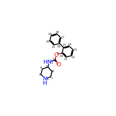 O=C(NC1CCNCC1)Oc1ccccc1-c1ccccc1